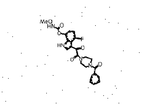 CONC(=O)Oc1ccc(F)c2c(C(=O)C(=O)N3CCN(C(=O)c4ccccc4)CC3)c[nH]c12